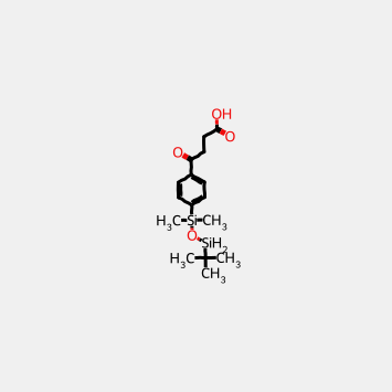 CC(C)(C)[SiH2]O[Si](C)(C)c1ccc(C(=O)CCC(=O)O)cc1